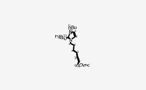 CCCCCCCCCCCCCCCCN1C=CN(CCCC)C1CCCC